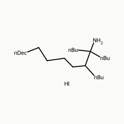 CCCCCCCCCCCCCCC(CCCC)C(N)(CCCC)CCCC.I